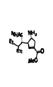 CCC(CC)[C@H](NC(C)=O)[C@@H]1C=C(C(=O)OC)C[C@H]1N